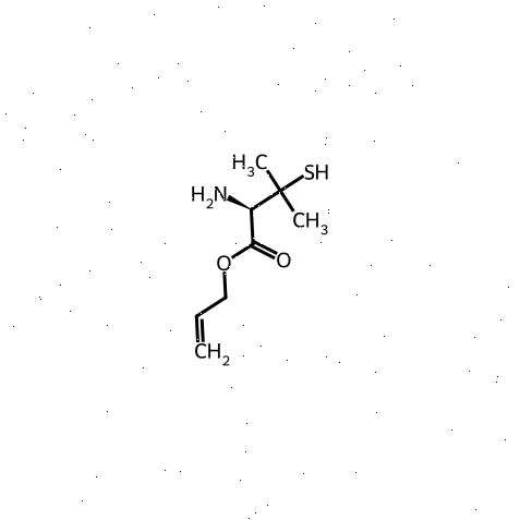 C=CCOC(=O)[C@@H](N)C(C)(C)S